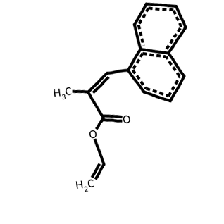 C=COC(=O)C(C)=Cc1cccc2ccccc12